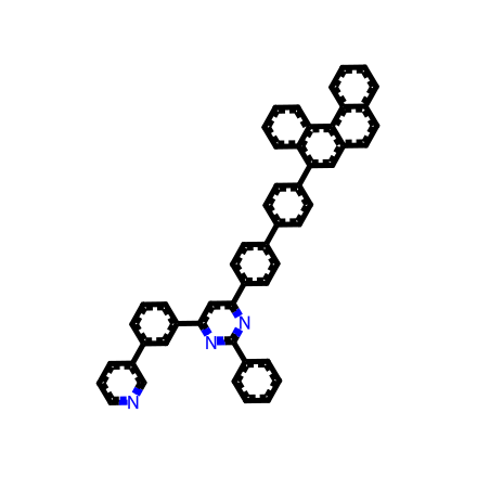 c1ccc(-c2nc(-c3ccc(-c4ccc(-c5cc6ccc7ccccc7c6c6ccccc56)cc4)cc3)cc(-c3cccc(-c4cccnc4)c3)n2)cc1